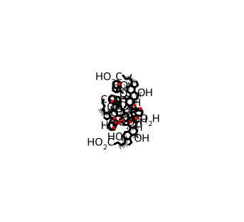 C[C@H](CCC(=O)O)[C@H]1CCC2C3C(C[C@H](O)[C@@]21C)[C@@]1(C)C(COC2C4CC5CC(C4)CC2C5)C[C@@](O)(C2C4(C(=O)O)CC5CC(C(=O)O)(C4)C([C@]4(O)CC(COC6C7CC8CC(C7)CC6C8)[C@]6(C)C7C[C@H](O)[C@@]8(C)C(CC[C@@H]8[C@H](C)CCC(=O)O)C7[C@H](O)C[C@@H]6C4)([C@]4(O)CC(COC6C7CC8CC(C7)CC6C8)[C@]6(C)C7C[C@H](O)[C@@]8(C)C(CC[C@@H]8[C@H](C)CCC(=O)O)C7[C@H](O)C[C@@H]6C4)C2(C(=O)O)C5)C[C@H]1C[C@H]3O